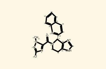 Cn1nc(Cl)nc1C(=O)N1CCc2[nH]cnc2[C@H]1c1ccc2ccccc2n1